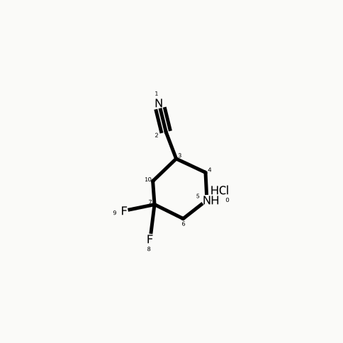 Cl.N#CC1CNCC(F)(F)C1